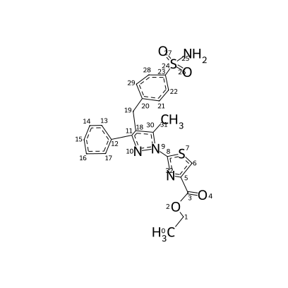 CCOC(=O)c1csc(-n2nc(-c3ccccc3)c(Cc3ccc(S(N)(=O)=O)cc3)c2C)n1